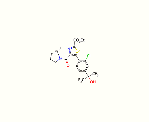 CCOC(=O)c1nc(C(=O)N2CCC[C@@H]2C)c(-c2ccc(C(O)(C(F)(F)F)C(F)(F)F)cc2Cl)s1